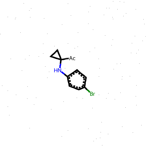 CC(=O)C1(Nc2ccc(Br)cc2)CC1